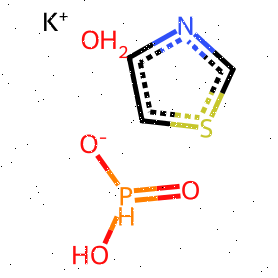 O.O=[PH]([O-])O.[K+].c1cscn1